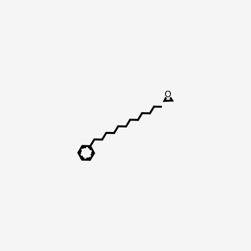 C1CO1.CCCCCCCCCCCCc1ccccc1